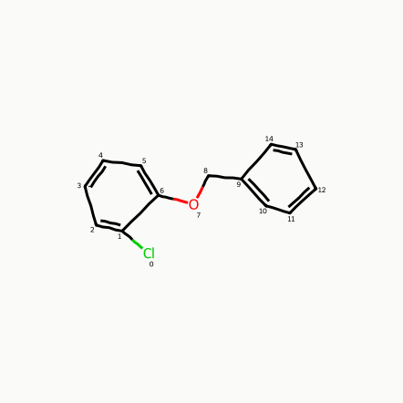 Clc1c[c]ccc1OCc1ccccc1